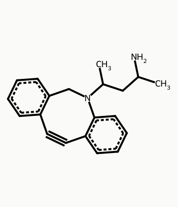 CC(N)CC(C)N1Cc2ccccc2C#Cc2ccccc21